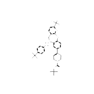 CC(C)(C)OC(=O)N1CC=C(c2ccc3c(c2)N(S(=O)(=O)c2ccc(C(C)(C)C)cc2)Cc2ccc(C(F)(F)F)nc2N3)CC1